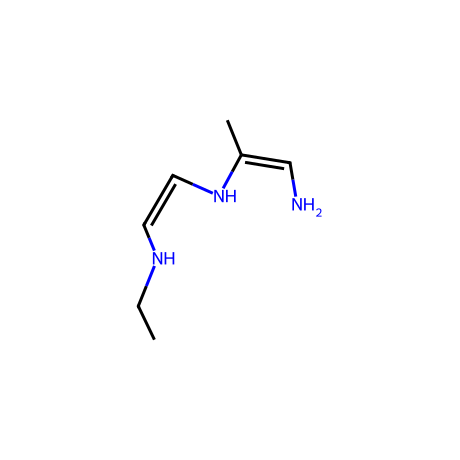 CCN/C=C\N/C(C)=C\N